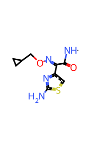 [NH]C(=O)/C(=N/OCC1CC1)c1csc(N)n1